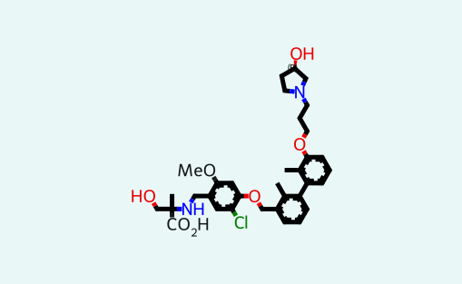 COc1cc(OCc2cccc(-c3cccc(OCCCN4CC[C@@H](O)C4)c3C)c2C)c(Cl)cc1CNC(C)(CO)C(=O)O